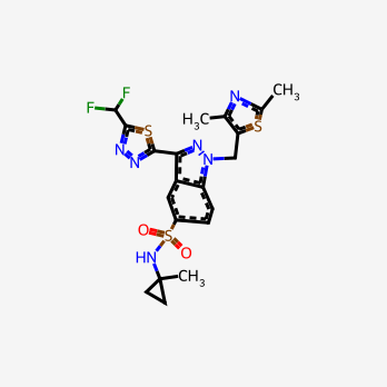 Cc1nc(C)c(Cn2nc(-c3nnc(C(F)F)s3)c3cc(S(=O)(=O)NC4(C)CC4)ccc32)s1